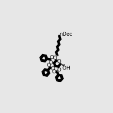 CCCCCCCCCCCCCCCCCCO[C@H]1O[C@H](CO)[C@@H](OC(=O)c2ccccc2)[C@H](OC(=O)c2ccccc2)[C@H]1OC(=O)c1ccccc1